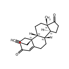 C#CC[C@]12CCC(=O)C=C1CC[C@@H]1[C@H]2CC[C@]2(C)C(=O)CC[C@@H]12